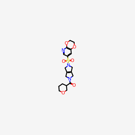 O=C(C1CCCOC1)N1CC2=C(C1)CN(S(=O)(=O)c1cnc3c(c1)OCCO3)C2